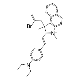 C=C(Br)CC1(C)C(/C=C/c2ccc(N(CC)CC)cc2)=[N+](C)c2ccc3ccccc3c21